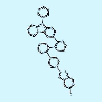 Clc1ccc2oc(-c3ccc(-c4ccccc4-c4ccccc4-c4ccc5c(c4)c4ccccc4n5-c4ccccc4)cc3)nc2c1